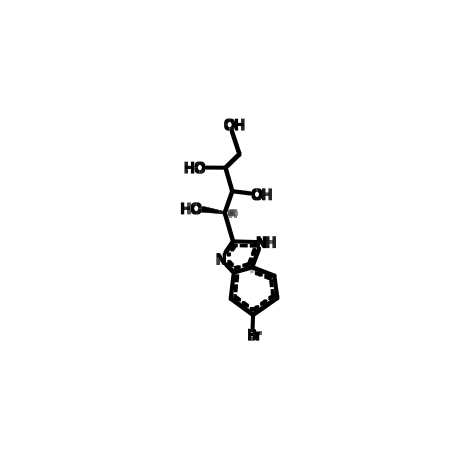 OCC(O)C(O)[C@H](O)c1nc2cc(Br)ccc2[nH]1